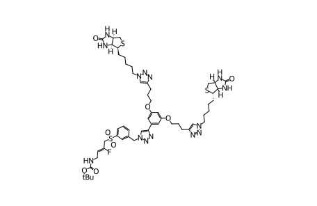 CC(C)(C)OC(=O)NC/C=C(\F)CS(=O)(=O)c1cccc(Cn2cc(-c3cc(OCCCc4cn(CCCCC[C@@H]5SC[C@@H]6NC(=O)N[C@@H]65)nn4)cc(OCCCc4cn(CCCCC[C@@H]5SC[C@@H]6NC(=O)N[C@@H]65)nn4)c3)nn2)c1